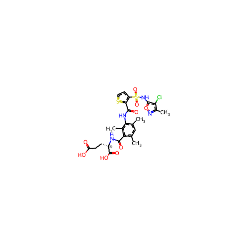 Cc1cc(C)c(C(=O)N[C@@H](CCC(=O)O)C(=O)O)c(C)c1NC(=O)c1sccc1S(=O)(=O)Nc1onc(C)c1Cl